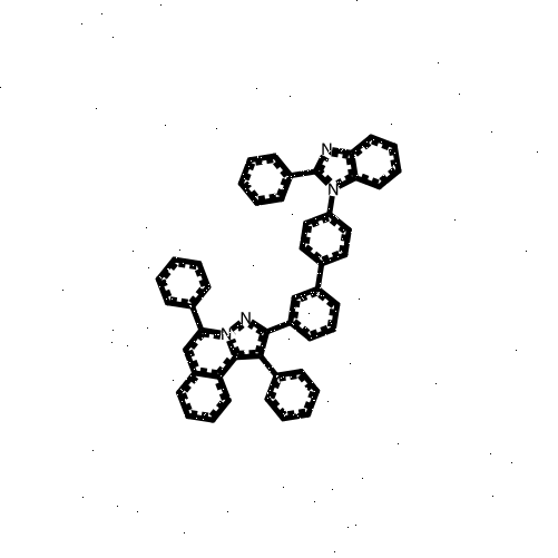 c1ccc(-c2c(-c3cccc(-c4ccc(-n5c(-c6ccccc6)nc6ccccc65)cc4)c3)nn3c(-c4ccccc4)cc4ccccc4c23)cc1